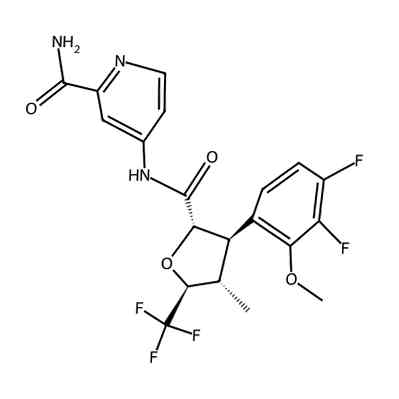 COc1c([C@H]2[C@H](C)[C@@H](C(F)(F)F)O[C@@H]2C(=O)Nc2ccnc(C(N)=O)c2)ccc(F)c1F